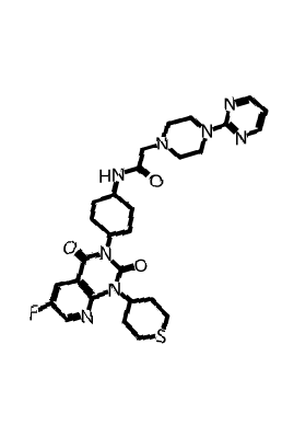 O=C(CN1CCN(c2ncccn2)CC1)NC1CCC(n2c(=O)c3cc(F)cnc3n(C3CCSCC3)c2=O)CC1